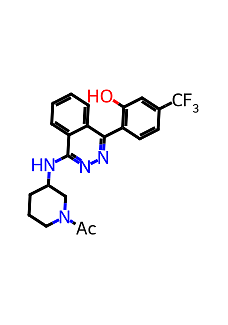 CC(=O)N1CCCC(Nc2nnc(-c3ccc(C(F)(F)F)cc3O)c3ccccc23)C1